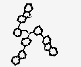 c1cc(-c2ccc3c(c2)sc2ccccc23)cc(N(Cc2ccccc2-c2ccc3c(c2)oc2ccccc23)c2ccc(-c3ccc4ccccc4c3)cc2)c1